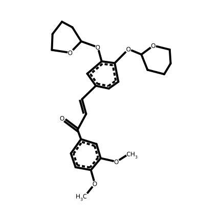 COc1ccc(C(=O)/C=C/c2ccc(OC3CCCCO3)c(OC3CCCCO3)c2)cc1OC